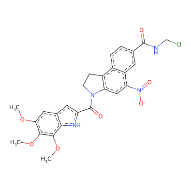 COc1cc2cc(C(=O)N3CCc4c3cc([N+](=O)[O-])c3cc(C(=O)NCCl)ccc43)[nH]c2c(OC)c1OC